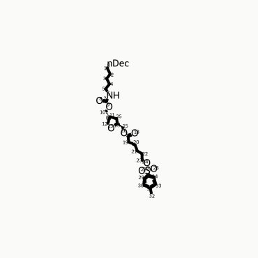 CCCCCCCCCCCCCCCNC(=O)OC[C@H]1CO[C@H](COC(=O)CCCCCOS(=O)(=O)c2ccc(C)cc2)C1